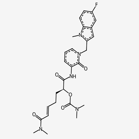 CN(C)C(=O)/C=C/CC[C@H](OC(=O)N(C)C)C(=O)Nc1cccn(Cc2cc3cc(F)ccc3n2C)c1=O